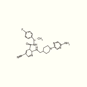 C[C@H](NC(=O)C1C=C(C#N)C=NC1NCC1CCN(c2cnc(N)cn2)CC1)c1ccc(F)cc1